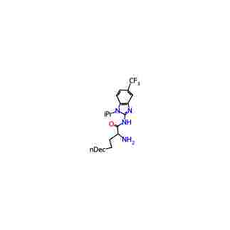 CCCCCCCCCCCCC(N)C(=O)Nc1nc2cc(C(F)(F)F)ccc2n1C(C)C